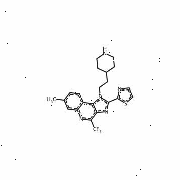 Cc1ccc2c(c1)nc(C(F)(F)F)c1nc(-c3nccs3)n(CCC3CCNCC3)c12